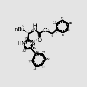 CCCC[C@H](NC(=O)OCc1ccccc1)c1nc(-c2ccccc2)c[nH]1